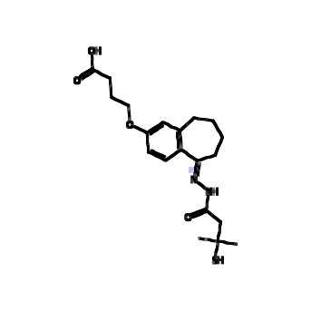 CC(C)(S)CC(=O)N/N=C1\CCCCc2cc(OCCCC(=O)O)ccc21